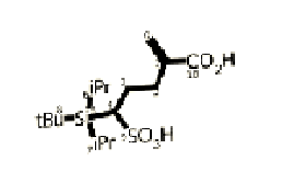 C=C(CCC([Si](C(C)C)(C(C)C)C(C)(C)C)S(=O)(=O)O)C(=O)O